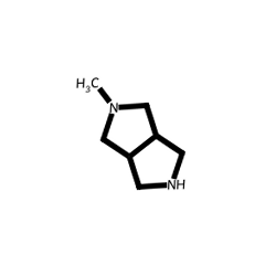 CN1C[C]2CNCC2C1